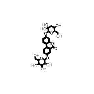 O=c1oc2cc(OC3OC(CO)C(O)CC3(O)O)ccc2c2ccc(OC3OC(CO)C(O)C(O)C3O)cc12